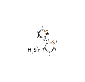 [SnH3][c]1ccsc1-c1cccs1